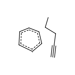 [C]#CCCC.[c]1ccccc1